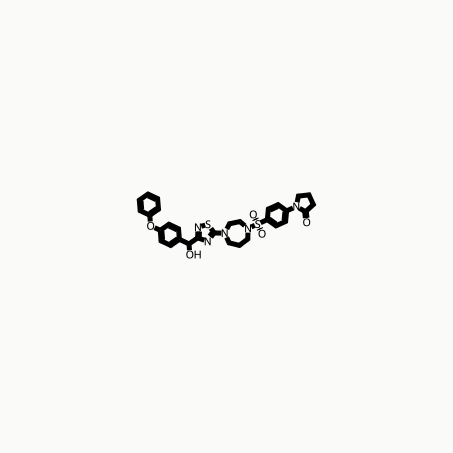 O=C1CCCN1c1ccc(S(=O)(=O)N2CCCN(c3nc(C(O)c4ccc(Oc5ccccc5)cc4)ns3)CC2)cc1